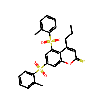 CCCc1cc(=S)oc2cc(S(=O)(=O)c3ccccc3C)cc(S(=O)(=O)c3ccccc3C)c12